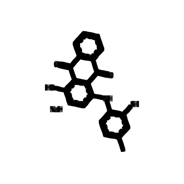 Cc1ccc(Nc2ccc(O)c3c2C(=O)c2ccccc2C3=O)c(S)c1.[NaH]